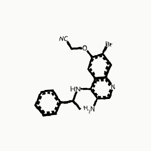 CC(Nc1c(N)cnc2cc(Br)c(OCC#N)cc12)c1ccccc1